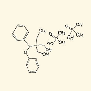 O=P(O)(O)O.O=P(O)(O)O.OCC(CO)(CO)C(Oc1ccccc1)c1ccccc1